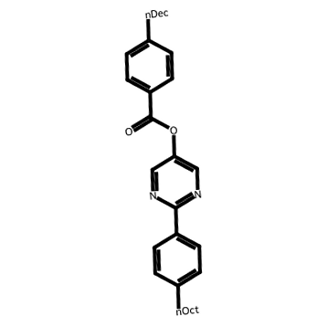 CCCCCCCCCCc1ccc(C(=O)Oc2cnc(-c3ccc(CCCCCCCC)cc3)nc2)cc1